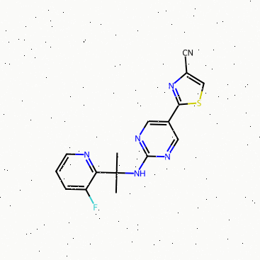 CC(C)(Nc1ncc(-c2nc(C#N)cs2)cn1)c1ncccc1F